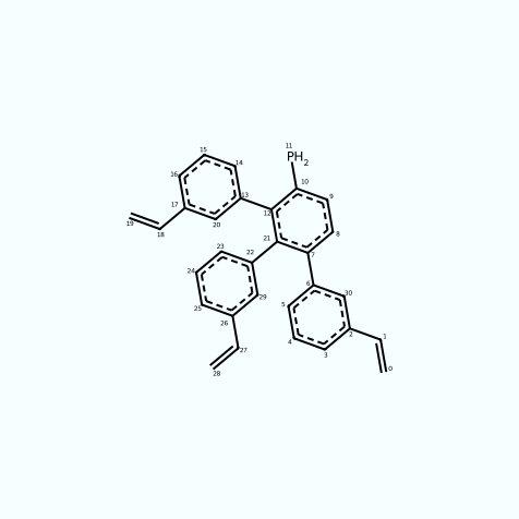 C=Cc1cccc(-c2ccc(P)c(-c3cccc(C=C)c3)c2-c2cccc(C=C)c2)c1